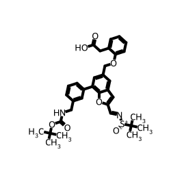 CC(C)(C)OC(=O)NCc1cccc(-c2cc(COc3ccccc3CC(=O)O)cc3cc(/C=N/[S+]([O-])C(C)(C)C)oc23)c1